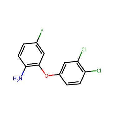 Nc1ccc(F)cc1Oc1ccc(Cl)c(Cl)c1